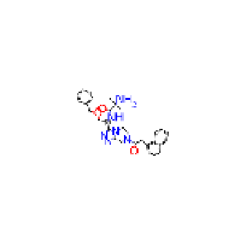 CC(C)(N)C(=O)N[C@H](COCc1ccccc1)c1nnc2n1CCN(C(=O)Cc1cccc3ccccc13)C2